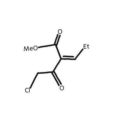 CCC=C(C(=O)CCl)C(=O)OC